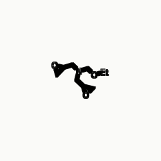 CCOCN(CC1CO1)CC1CO1